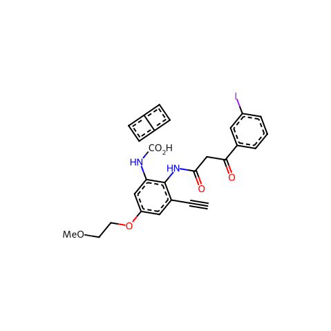 C#Cc1cc(OCCOC)cc(NC(=O)O)c1NC(=O)CC(=O)c1cccc(I)c1.c1cc2ccc1-2